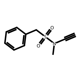 C#CN(C)S(=O)(=O)Cc1ccccc1